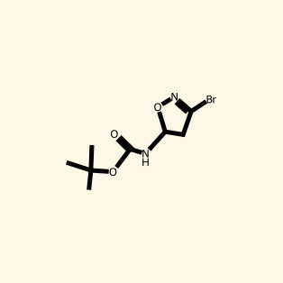 CC(C)(C)OC(=O)NC1CC(Br)=NO1